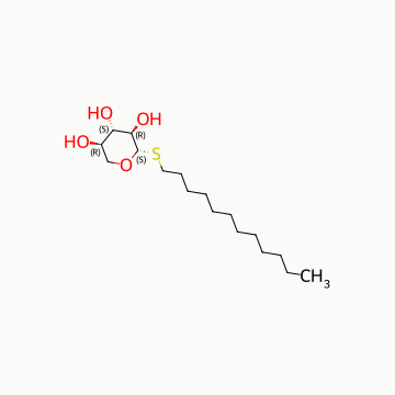 CCCCCCCCCCCCS[C@@H]1OC[C@@H](O)[C@H](O)[C@H]1O